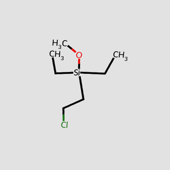 CC[Si](CC)(CCCl)OC